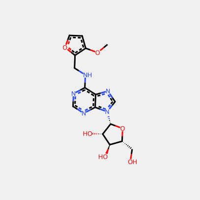 COc1ccoc1CNc1ncnc2c1ncn2[C@@H]1O[C@H](CO)[C@@H](O)[C@@H]1O